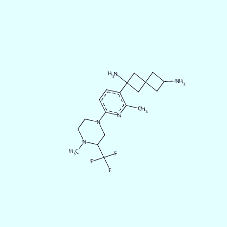 Cc1nc(N2CCN(C)C(C(F)(F)F)C2)ccc1C1(N)CC2(CC(N)C2)C1